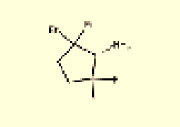 CCC1(CC)CCC(F)(F)[C@H]1N